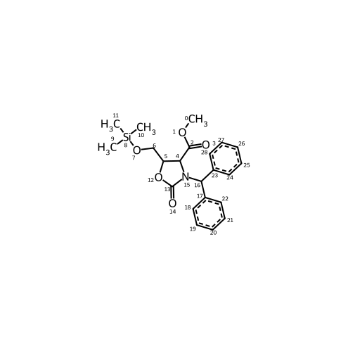 COC(=O)C1C(CO[Si](C)(C)C)OC(=O)N1C(c1ccccc1)c1ccccc1